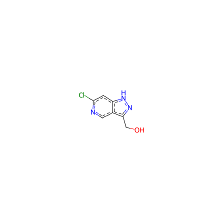 OCc1n[nH]c2cc(Cl)ncc12